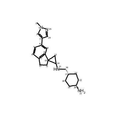 Cn1cc(-c2ccc3c(c2)C2(CC3)CC2NC[C@H]2CC[C@H](N)CC2)cn1